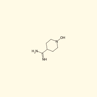 N=C(N)C1CCN(O)CC1